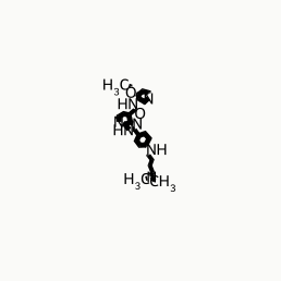 CCOc1ccncc1NC(=O)c1ccnc2[nH]c(-c3ccc(NCCCCN(C)C)cc3)nc12